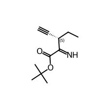 C#C[C@H](CC)C(=N)C(=O)OC(C)(C)C